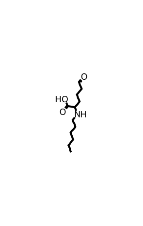 CCCCCCNC(CCCC=O)C(=O)O